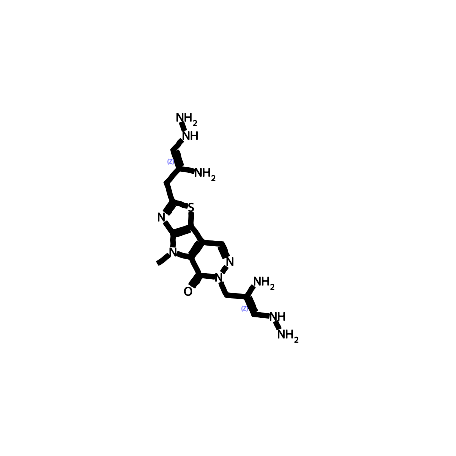 Cn1c2nc(C/C(N)=C/NN)sc2c2cnn(C/C(N)=C/NN)c(=O)c21